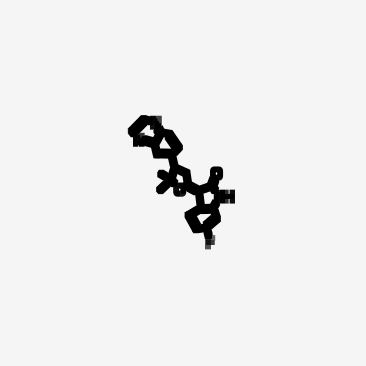 CC1(C)O/C(=C2/C(=O)Nc3cc(F)ccc32)CC1c1ccc2nccnc2c1